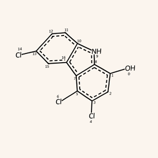 Oc1cc(Cl)c(Cl)c2c1[nH]c1ccc(Cl)cc12